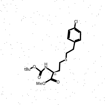 COC(=O)[C@H](CCSCCc1ccc(Cl)cc1)NC(=O)OC(C)(C)C